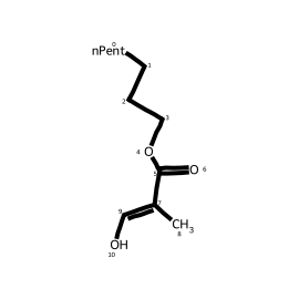 CCCCCCCCOC(=O)C(C)=CO